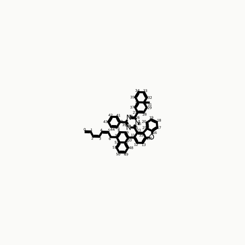 C=C/C=C\C=C/Cc1ccc(-c2ccc3oc4ccccc4c3c2-c2nc(C3=CCC4(C)C=CC=CC4=C3)nc(-c3ccccc3)n2)c2ccccc12